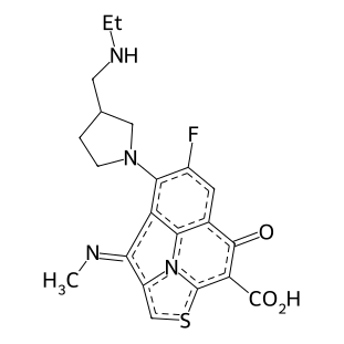 CCNCC1CCN(c2c(F)cc3c(=O)c(C(=O)O)c4scc5c(=NC)c2c3n45)C1